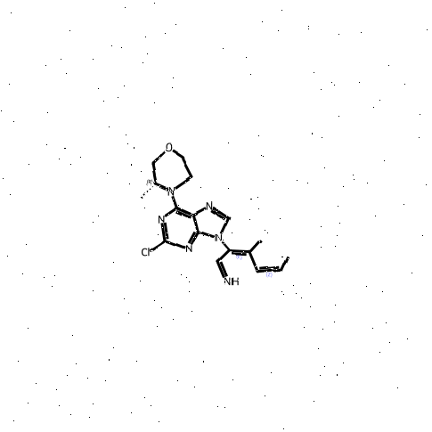 C/C=C\C(C)=C(/C=N)n1cnc2c(N3CCOC[C@H]3C)nc(Cl)nc21